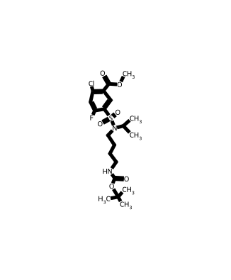 COC(=O)c1cc(S(=O)(=O)N(CCCCNC(=O)OC(C)(C)C)C(C)C)c(F)cc1Cl